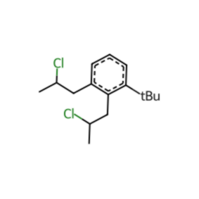 CC(Cl)Cc1cccc(C(C)(C)C)c1CC(C)Cl